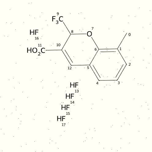 Cc1cccc2c1OC(C(F)(F)F)C(C(=O)O)=C2.F.F.F.F.F